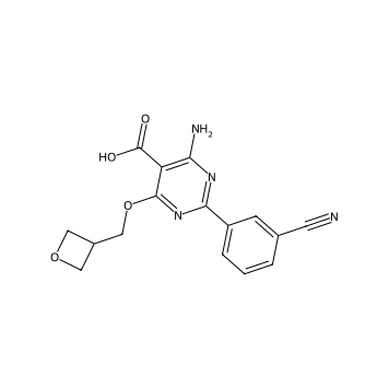 N#Cc1cccc(-c2nc(N)c(C(=O)O)c(OCC3COC3)n2)c1